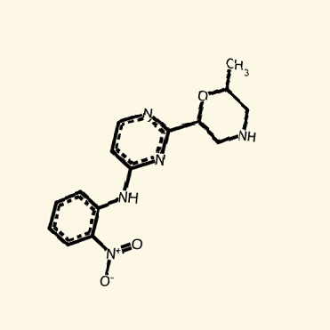 CC1CNCC(c2nccc(Nc3ccccc3[N+](=O)[O-])n2)O1